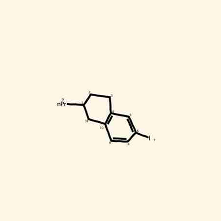 CCCC1CCc2cc(I)ccc2C1